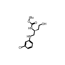 CC(C)(C)OC(=O)N[C@@H](CCO)CNc1cccc(Cl)c1